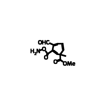 COC(=O)C1(C)C=CC=C(C=O)C(C(=O)ON)=C1